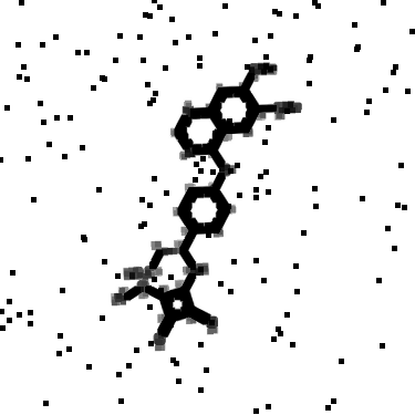 COc1cc2ncnc(Oc3ccc([C@@H](CC(=O)O)Nc4c(OC(C)C)c(=O)c4=O)cc3)c2cc1OC